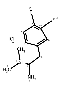 C[SiH](C)C(N)Cc1ccc(F)c(F)c1.Cl